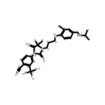 Cc1cc(CNC(C)C)ccc1OCCCN1C(=S)N(c2ccc(C#N)c(C(F)(F)F)c2)C(=O)C1(C)C